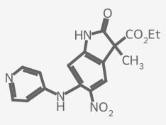 CCOC(=O)C1(C)C(=O)Nc2cc(Nc3ccncc3)c([N+](=O)[O-])cc21